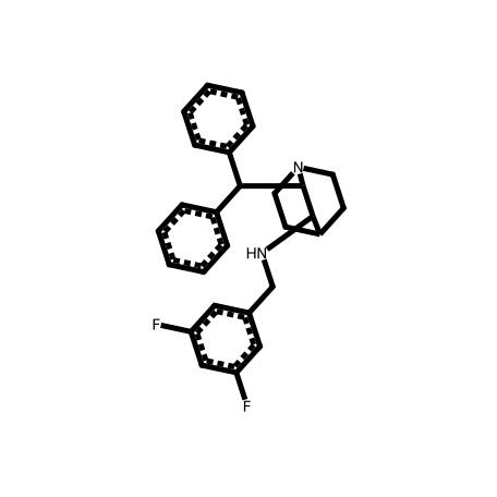 Fc1cc(F)cc(CNC2C3CCN(CC3)C2C(c2ccccc2)c2ccccc2)c1